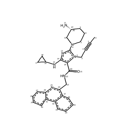 CC#CCn1c(N2CCC[C@@H](N)C2)nc(NC2CC2)c1C(=O)NCc1nc2ccccc2c2ccccc12